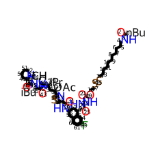 CCCCC(=O)NCCCCCCCCCCCSSCCOC(=O)NNC(=O)[C@@H]1C[C@@H](NC(=O)c2csc([C@@H](C[C@H](C(C)C)N(C)C(=O)C(NC(=O)[C@H]3CCCCN3C)[C@@H](C)CC)OC(C)=O)n2)Cc2ccc(F)cc21